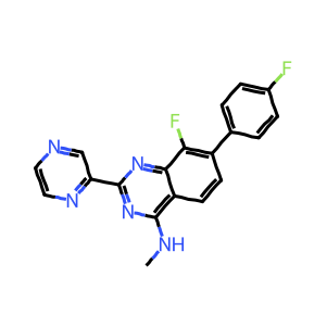 CNc1nc(-c2cnccn2)nc2c(F)c(-c3ccc(F)cc3)ccc12